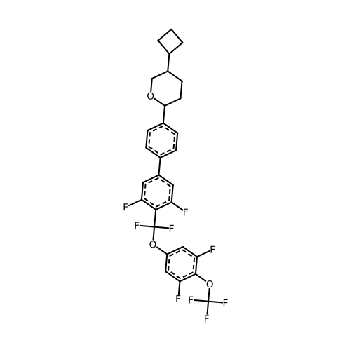 Fc1cc(OC(F)(F)c2c(F)cc(-c3ccc(C4CCC(C5CCC5)CO4)cc3)cc2F)cc(F)c1OC(F)(F)F